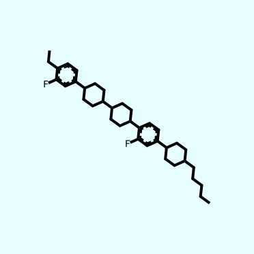 CCCCCC1CCC(c2ccc(C3CCC(C4CCC(c5ccc(CC)c(F)c5)CC4)CC3)c(F)c2)CC1